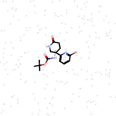 CC(C)(C)OC(=O)N[C@@]1(c2cccc(Br)n2)CCC(=O)NC1